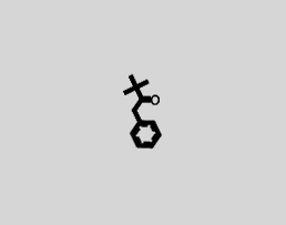 CC(C)(C)C(=O)Cc1ccccc1